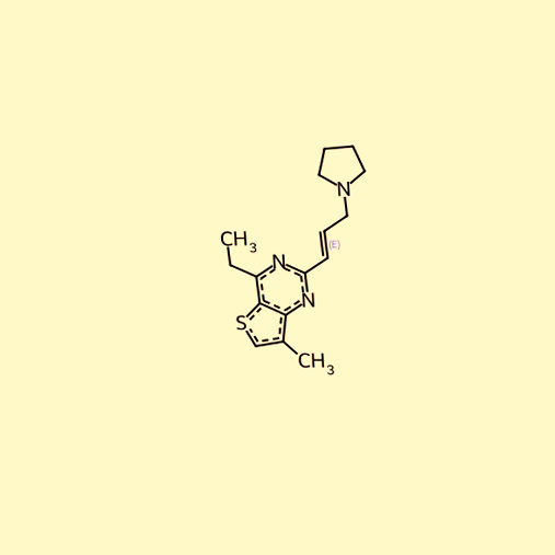 CCc1nc(/C=C/CN2CCCC2)nc2c(C)csc12